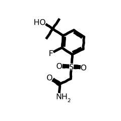 CC(C)(O)c1cccc(S(=O)(=O)CC(N)=O)c1F